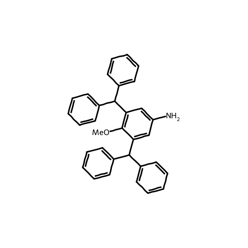 COc1c(C(c2ccccc2)c2ccccc2)cc(N)cc1C(c1ccccc1)c1ccccc1